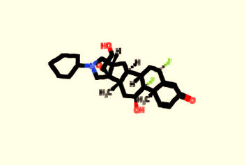 C[C@]12C=CC(=O)C=C1[C@@H](F)C[C@H]1[C@@H]3C[C@H]4CN(C5CCCCC5)C[C@@]4(C(=O)CO)[C@@]3(C)C[C@H](O)[C@@]12F